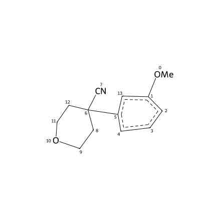 COc1cccc(C2(C#N)CCOCC2)c1